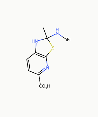 CC(C)NC1(C)Nc2ccc(C(=O)O)nc2S1